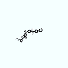 Cc1ccsc1C(=O)Nc1ccc(C(=O)c2ccc(NC(=O)c3ccc(N4CCOCC4)cc3)cc2)cc1